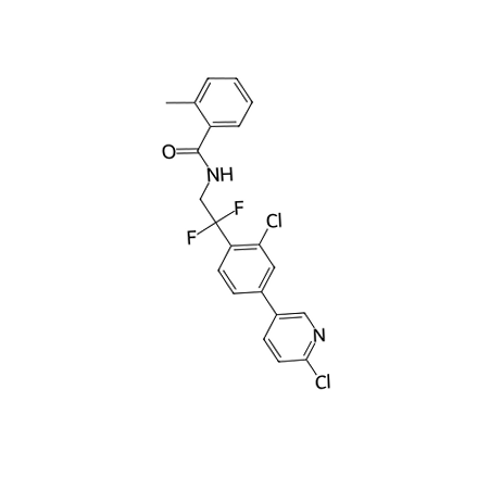 Cc1ccccc1C(=O)NCC(F)(F)c1ccc(-c2ccc(Cl)nc2)cc1Cl